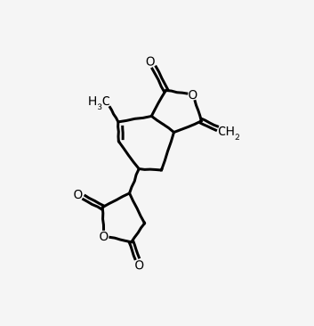 C=C1OC(=O)C2C(C)=CC(C3CC(=O)OC3=O)CC12